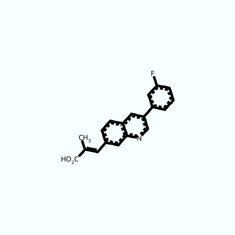 CC(=Cc1ccc2cc(-c3cccc(F)c3)cnc2c1)C(=O)O